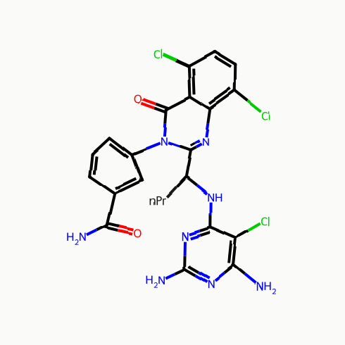 CCCC(Nc1nc(N)nc(N)c1Cl)c1nc2c(Cl)ccc(Cl)c2c(=O)n1-c1cccc(C(N)=O)c1